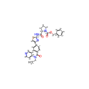 CCN(C(=O)c1ccc(-c2csc(NC(=O)C3CCCN3C(=O)OCc3ccccc3)n2)cc1)c1ccncc1